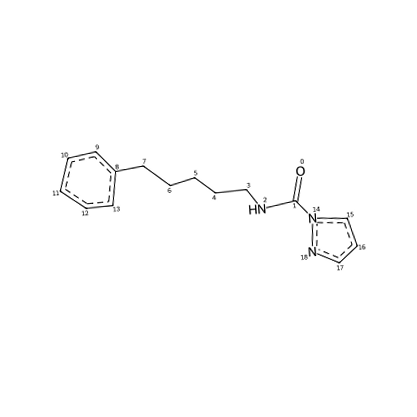 O=C(NCCCCCc1ccccc1)n1cccn1